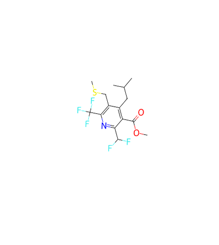 COC(=O)c1c(C(F)F)nc(C(F)(F)F)c(CSC)c1CC(C)C